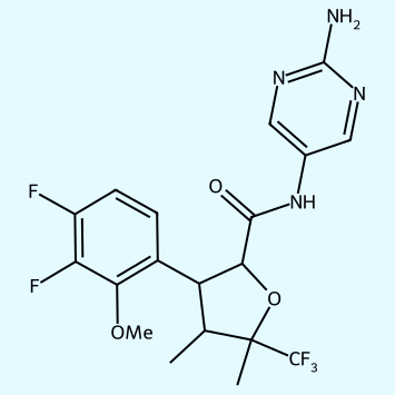 COc1c(C2C(C(=O)Nc3cnc(N)nc3)OC(C)(C(F)(F)F)C2C)ccc(F)c1F